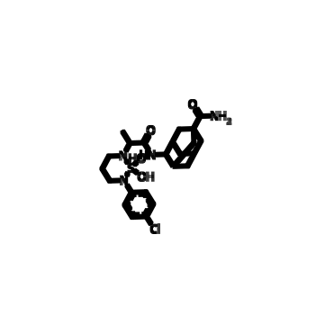 CC(C(=O)NC1C2CC3CC1CC(C(N)=O)(C3)C2)N1CCCN(c2ccc(Cl)cc2)S1(O)O